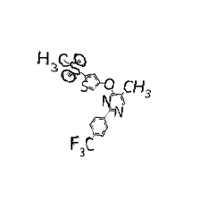 Cc1cnc(-c2ccc(C(F)(F)F)cc2)nc1Oc1csc(S(C)(=O)=O)c1